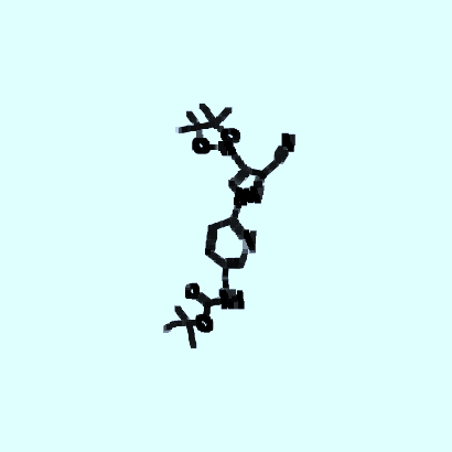 CC(C)(C)OC(=O)Nc1ccc(-n2cc(B3OC(C)(C)C(C)(C)O3)c(C#N)n2)nc1